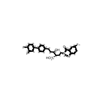 O=C(O)[C@H](CCn1nnc2ccc(F)cc2c1=O)[C@H](O)CCc1ccc(-c2ccc(F)c(F)c2)cc1